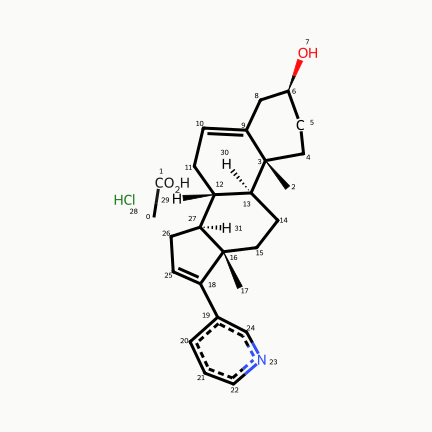 CC(=O)O.C[C@]12CC[C@H](O)CC1=CC[C@@H]1[C@@H]2CC[C@]2(C)C(c3cccnc3)=CC[C@@H]12.Cl